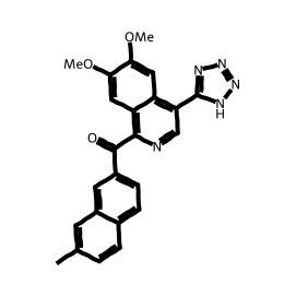 COc1cc2c(-c3nnn[nH]3)cnc(C(=O)c3ccc4ccc(C)cc4c3)c2cc1OC